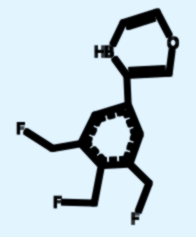 FCc1cc(C2=COC=CB2)cc(CF)c1CF